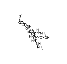 CC(C)CCCC(C)C1CCC2C3CC=C4CC(NC(=O)CCC(=O)NC(CC(=O)NC(CC(=O)NCCNCCN)C(=O)NCCCOCCCO)C(=O)NCCNCCN)CCC4(C)C3CCC12C